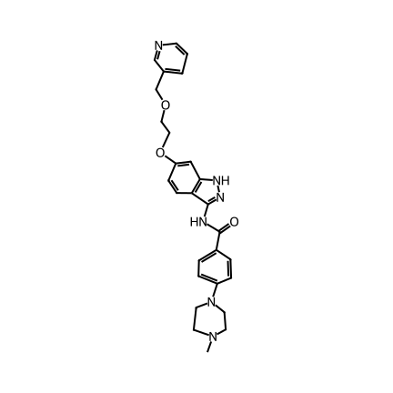 CN1CCN(c2ccc(C(=O)Nc3n[nH]c4cc(OCCOCc5cccnc5)ccc34)cc2)CC1